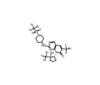 [2H]C(F)(F)c1cc2cnc(NC3CCN(S(=O)(=O)C([2H])([2H])[2H])CC3)nc2n([C@@H]2CCC[C@]2(O)C([2H])([2H])[2H])c1=O